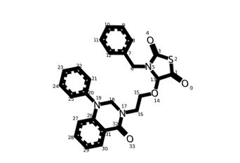 O=C1SC(=O)N(Cc2ccccc2)C1OCCN1CN(c2ccccc2)c2ccccc2C1=O